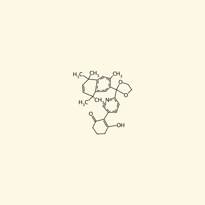 Cc1cc2c(cc1C1(c3ccc(C4=C(O)CCCC4=O)cn3)OCCO1)C(C)(C)C=CC2(C)C